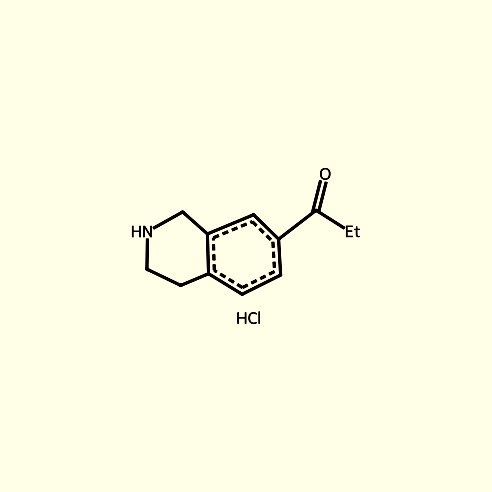 CCC(=O)c1ccc2c(c1)CNCC2.Cl